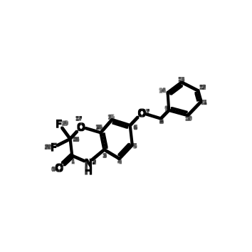 O=C1Nc2ccc(OCc3ccccc3)cc2OC1(F)F